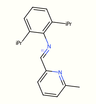 Cc1cccc(/C=N/c2c(C(C)C)cccc2C(C)C)n1